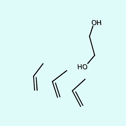 C=CC.C=CC.C=CC.OCCO